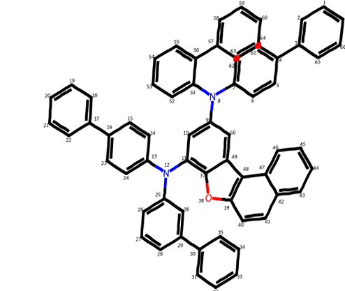 c1ccc(-c2ccc(N(c3cc(N(c4ccc(-c5ccccc5)cc4)c4cccc(-c5ccccc5)c4)c4oc5ccc6ccccc6c5c4c3)c3ccccc3-c3ccccc3)cc2)cc1